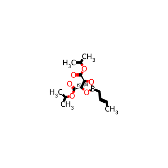 CC=CCB1O[C@H](C(=O)OC(C)C)[C@@H](C(=O)OC(C)C)O1